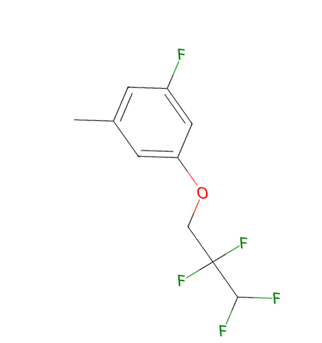 Cc1cc(F)cc(OCC(F)(F)C(F)F)c1